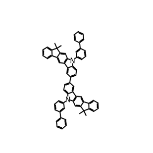 CC1(C)c2ccccc2-c2cc3c4cc(-c5ccc6c(c5)c5cc7c(cc5n6-c5cccc(-c6ccccc6)c5)C(C)(C)c5ccccc5-7)ccc4n(-c4cccc(-c5ccccc5)c4)c3cc21